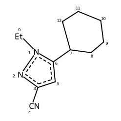 CCn1nc(C#N)cc1C1CCCCC1